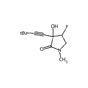 CN1CC(F)C(O)(C#CC(C)(C)C)C1=O